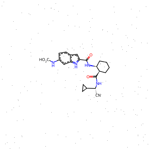 N#C[C@@H](NC(=O)[C@@H]1CCCC[C@@H]1NC(=O)c1cc2ccc(NC(=O)O)cc2[nH]1)C1CC1